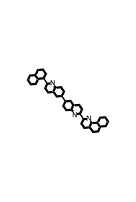 c1ccc2c(-c3ccc4cc(-c5ccc6nc(-c7ccc8ccc9ccccc9c8n7)ccc6c5)ccc4n3)cccc2c1